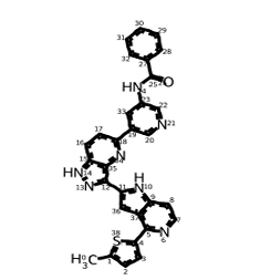 Cc1ccc(-c2nccc3[nH]c(-c4n[nH]c5ccc(-c6cncc(NC(=O)c7ccccc7)c6)nc45)cc23)s1